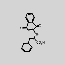 O=C1C=C(N[C@H](Cc2ccccc2)C(=O)O)C(=O)c2ccccc21